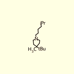 CC(C)CCCCN1CCC(C)(C(C)(C)C)CC1